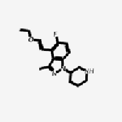 CCO/C=C/c1c(F)ccc2c1c(C)nn2C1CCCNC1